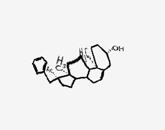 CC(=O)[C@@]1(Cc2ccccc2)CCC2C3CC=C4C[C@@H](O)CC[C@]4(C)C3CC[C@@]21C